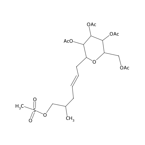 CC(=O)OCC1OC(C/C=C/CC(C)COS(C)(=O)=O)C(OC(C)=O)C(OC(C)=O)C1OC(C)=O